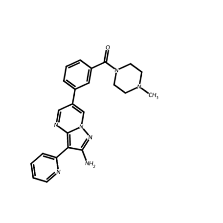 CN1CCN(C(=O)c2cccc(-c3cnc4c(-c5ccccn5)c(N)nn4c3)c2)CC1